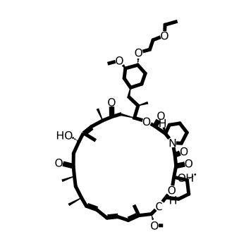 CCOCCO[C@@H]1CC[C@@H](C[C@@H](C)[C@@H]2CC(=O)[C@H](C)/C=C(\C)[C@@H](O)CC(=O)[C@H](C)C[C@H](C)/C=C/C=C/C=C(\C)[C@@H](OC)C[C@@H]3CC[C@@H](C)[C@@](O)(O3)C(=O)C(=O)N3CCCC[C@H]3C(=O)O2)C[C@H]1OC